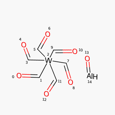 O=[CH][W]([CH]=O)([CH]=O)([CH]=O)([CH]=O)[CH]=O.[O]=[AlH]